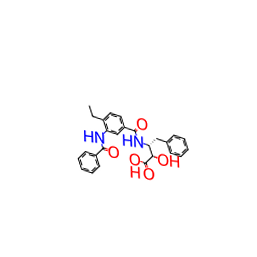 CCc1ccc(C(=O)N[C@H](Cc2ccccc2)[C@@H](O)C(=O)O)cc1NC(=O)c1ccccc1